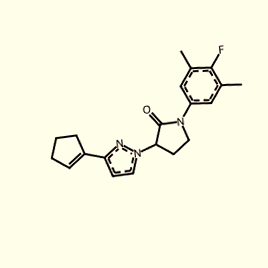 Cc1cc(N2CCC(n3ccc(C4=CCCC4)n3)C2=O)cc(C)c1F